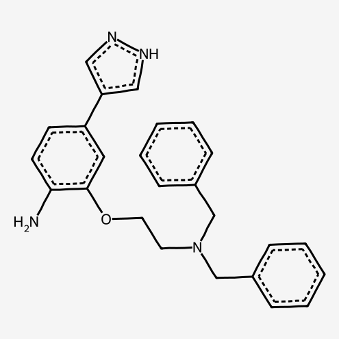 Nc1ccc(-c2cn[nH]c2)cc1OCCN(Cc1ccccc1)Cc1ccccc1